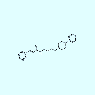 O=C(C=Cc1cccnc1)NCCCCN1CCN(c2ccccc2)CC1